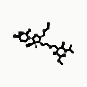 C#C[C@]1(C)[C@H](CCOC[C@H](NC(=O)OC)C(=O)OC(C)C)[C@@H](COP=O)O[C@H]1n1ccc(=O)[nH]c1=O